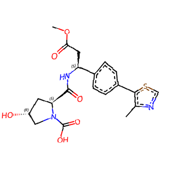 COC(=O)C[C@H](NC(=O)[C@@H]1C[C@@H](O)CN1C(=O)O)c1ccc(-c2scnc2C)cc1